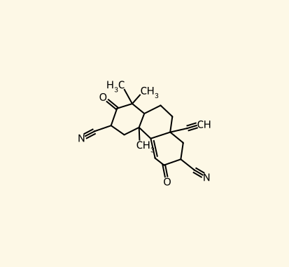 C#CC12CCC3C(C)(C)C(=O)C(C#N)CC3(C)C1=CC(=O)C(C#N)C2